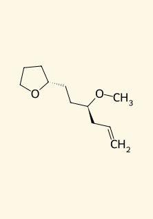 C=CC[C@@H](CC[C@H]1CCCO1)OC